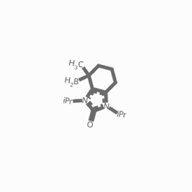 BC1(C)CCCc2c1n(C(C)C)c(=O)n2C(C)C